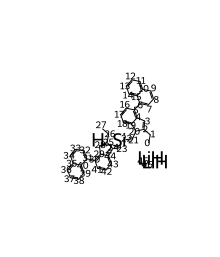 CCC1=Cc2c(-c3cccc4ccccc34)cccc2C1C[SiH2]CC1C(CC)=Cc2c(-c3cccc4ccccc34)cccc21.[LiH].[LiH]